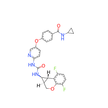 O=C(Nc1ccc(Oc2ccc(C(=O)NC3CC3)cc2)cn1)N[C@@H]1[C@@H]2COc3c(F)ccc(F)c3[C@H]21